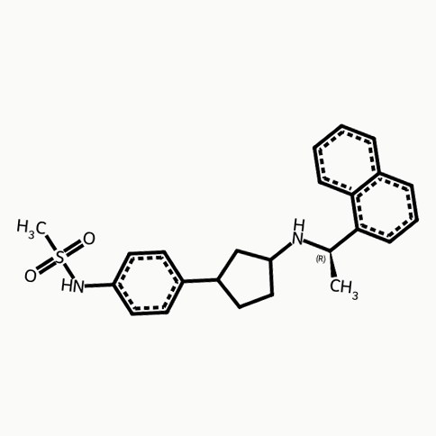 C[C@@H](NC1CCC(c2ccc(NS(C)(=O)=O)cc2)C1)c1cccc2ccccc12